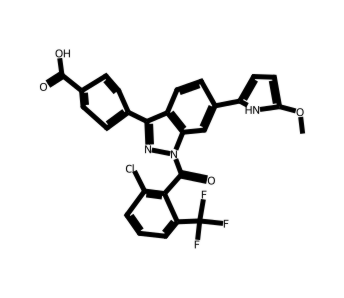 COc1ccc(-c2ccc3c(-c4ccc(C(=O)O)cc4)nn(C(=O)c4c(Cl)cccc4C(F)(F)F)c3c2)[nH]1